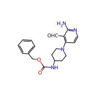 Nc1nccc(N2CCC(NC(=O)OCc3ccccc3)CC2)c1C=O